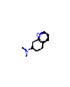 CN(C)C1CCc2cccnc2C1